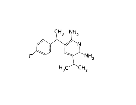 CC(C)c1cc(C(C)c2ccc(F)cc2)c(N)nc1N